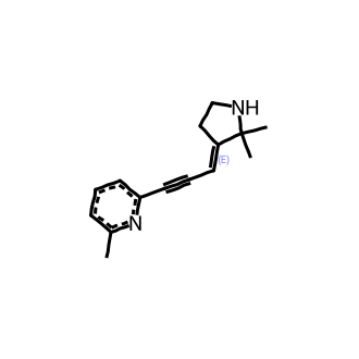 Cc1cccc(C#C/C=C2\CCNC2(C)C)n1